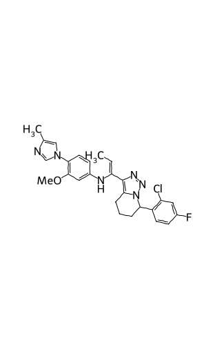 CC=C(Nc1ccc(-n2cnc(C)c2)c(OC)c1)c1nnn2c1CCCC2c1ccc(F)cc1Cl